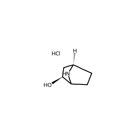 Cl.O[C@H]1C[C@H]2CCC1N2